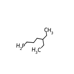 CCC(CC)CCCP